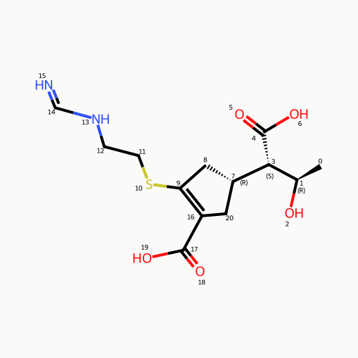 C[C@@H](O)[C@@H](C(=O)O)[C@H]1CC(SCCNC=N)=C(C(=O)O)C1